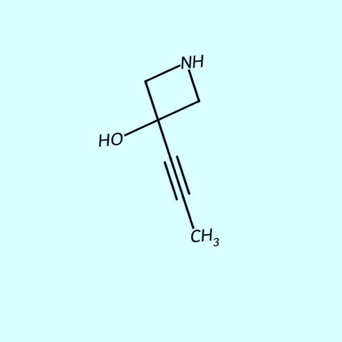 CC#CC1(O)CNC1